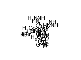 Br.Br.CC(C)C[C@H](NC(=O)OC(C)(C)C)C(=O)N[C@@H](CCCNC(=N)N)C(=O)N[C@@H](CCCNC(=N)N)C(=O)Nc1ccc2c(C(F)(F)F)cc(=O)oc2c1